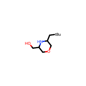 CC(C)(C)CC1COCC(CO)N1